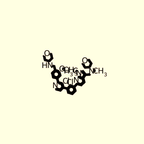 COc1cc(-c2nccc(-c3cccc(-c4ccc5c(CN(C)C6CCOCC6)cn(C)c5n4)c3Cl)c2Cl)ccc1CNC1CCOCC1